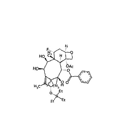 CC[Si](CC)(CC)O[C@H]1C[C@@]2(O)[C@@H](OC(=O)c3ccccc3)[C@@H]3[C@]4(OC(C)=O)CO[C@@H]4C[C@@H](F)[C@@]3(C)[C@H](O)[C@H](O)C(=C1C)C2(C)C